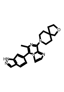 Cc1nc(N2CCC3(CCOC3)CC2)c2nccn2c1-c1ccc2cn[nH]c2c1